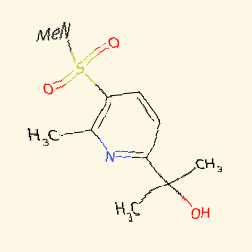 CNS(=O)(=O)c1ccc(C(C)(C)O)nc1C